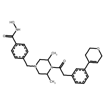 CC1CN(Cc2ccc(C(=O)NO)cc2)CC(C)N1C(=O)Cc1cccc(C2=CCOCC2)c1